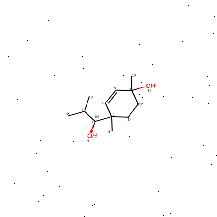 CC(C)[C@H](O)C1(C)C=CC(C)(O)CC1